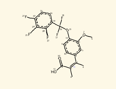 COc1cc(/C(C)=C(/C)C(=O)O)ccc1OC(F)(F)c1ccc(F)c(F)c1F